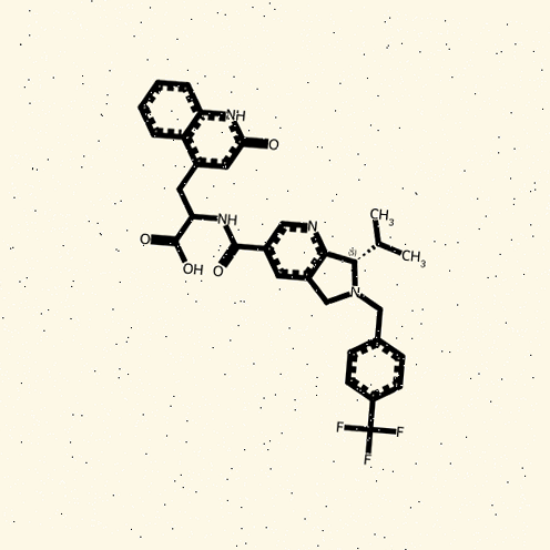 CC(C)[C@H]1c2ncc(C(=O)NC(Cc3cc(=O)[nH]c4ccccc34)C(=O)O)cc2CN1Cc1ccc(C(F)(F)F)cc1